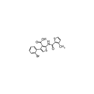 Cc1ccsc1C(=O)Nc1scc(-c2ccccc2Br)c1C(=O)O